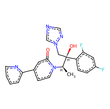 C[C@@H](n1ccc(-c2ccccn2)cc1=O)[C@](O)(Cn1cncn1)c1ccc(F)cc1F